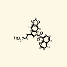 O=C(O)CCc1cn(S(=O)(=O)c2cccc3cccnc23)c2cc3c(cc12)OCO3